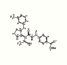 COC(=O)c1ccc(C(C)NC(=O)/C(C(=N)C(F)(F)F)=C2/NCCN2Cc2cccc(C(F)(F)F)c2)cc1